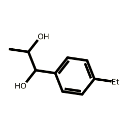 CCc1ccc(C(O)C(C)O)cc1